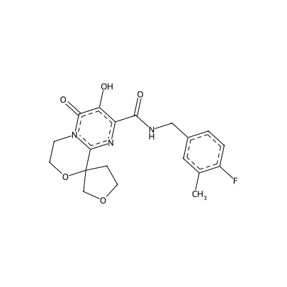 Cc1cc(CNC(=O)c2nc3n(c(=O)c2O)CCOC32CCOC2)ccc1F